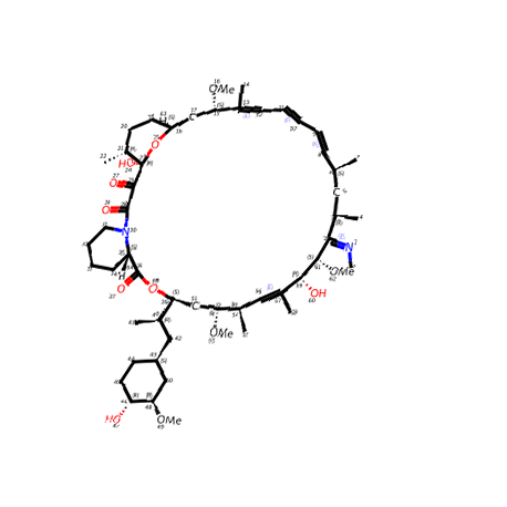 C/N=C1/[C@H](C)C[C@H](C)/C=C/C=C/C=C(\C)[C@@H](OC)C[C@@H]2CC[C@@H](C)[C@@](O)(O2)C(=O)C(=O)N2CCCC[C@H]2C(=O)O[C@H]([C@H](C)C[C@@H]2CC[C@@H](O)[C@H](OC)C2)C[C@@H](OC)[C@H](C)/C=C(\C)[C@@H](O)[C@H]1OC